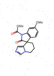 COC(=O)N1C(=O)C2(CCCn3cncc32)c2ccc(OC)cc21